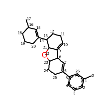 Cc1cccc(C2=CC3C4=CCCC(C5=CC(C)CCC5)C4OC3CC2)c1